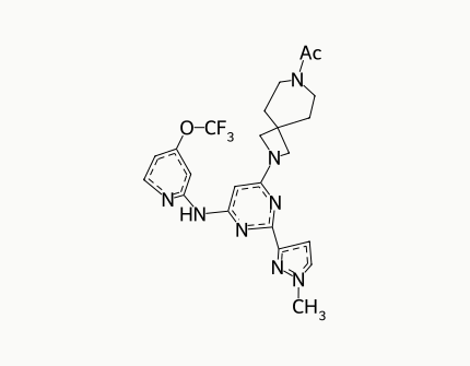 CC(=O)N1CCC2(CC1)CN(c1cc(Nc3cc(OC(F)(F)F)ccn3)nc(-c3ccn(C)n3)n1)C2